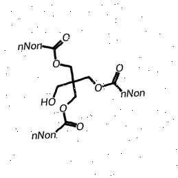 CCCCCCCCCC(=O)OCC(CO)(COC(=O)CCCCCCCCC)COC(=O)CCCCCCCCC